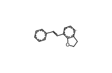 [c]1ccc(C=Cc2ccccc2)c2c1CCO2